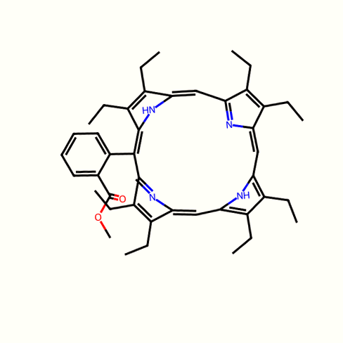 CCC1=C(CC)c2cc3[nH]c(c(CC)c3CC)c(-c3ccccc3C(=O)OC)c3nc(cc4[nH]c(cc1n2)c(CC)c4CC)C(CC)=C3CC